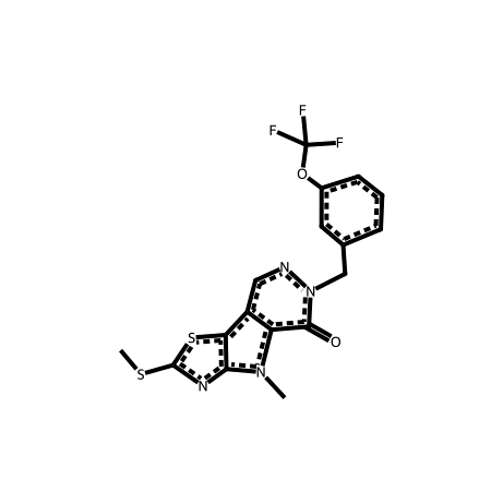 CSc1nc2c(s1)c1cnn(Cc3cccc(OC(F)(F)F)c3)c(=O)c1n2C